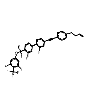 C=CCCc1ccc(C#Cc2ccc(-c3ccc(C(F)(F)Oc4cc(F)c(C(F)(F)F)c(F)c4)c(F)c3)c(F)c2)cc1